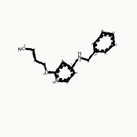 N#CCCCOc1cc(NCc2ccccc2)ccn1